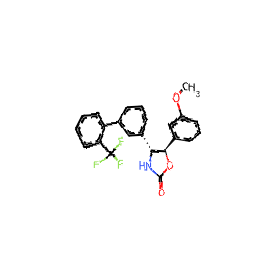 COc1cccc([C@H]2OC(=O)N[C@@H]2c2cccc(-c3ccccc3C(F)(F)F)c2)c1